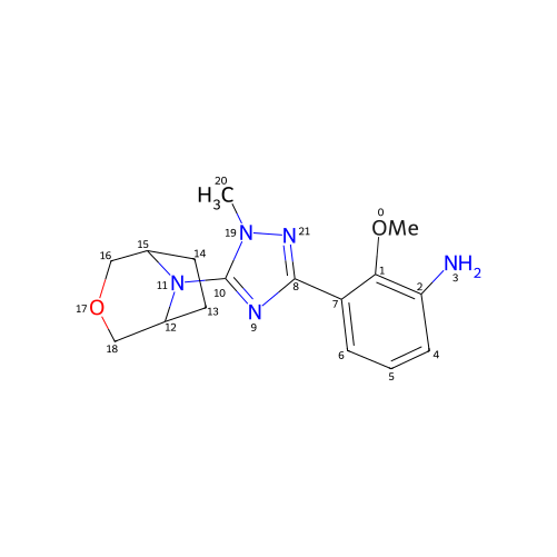 COc1c(N)cccc1-c1nc(N2C3CCC2COC3)n(C)n1